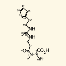 CC(C)C(C(=O)O)N(C)C(=O)CCNC(=S)NCCc1cccs1